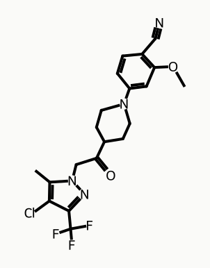 COc1cc(N2CCC(C(=O)Cn3nc(C(F)(F)F)c(Cl)c3C)CC2)ccc1C#N